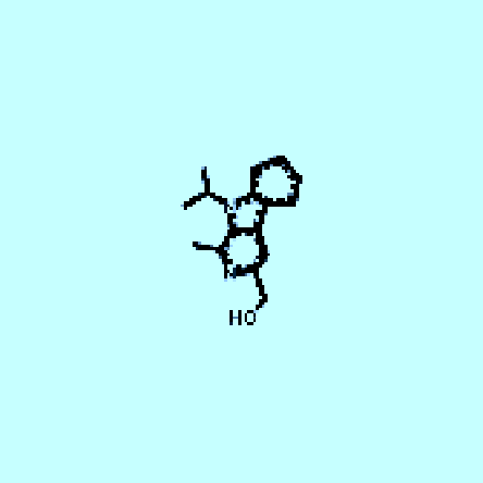 Cc1nc(CO)cc2c3ccccc3n(C(C)C)c12